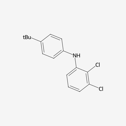 CC(C)(C)c1ccc(Nc2cccc(Cl)c2Cl)cc1